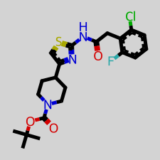 CC(C)(C)OC(=O)N1CCC(c2csc(NC(=O)Cc3c(F)cccc3Cl)n2)CC1